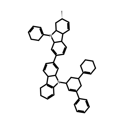 C[C@@H]1C=CC2C3C=CC(C4=CC5C(C=C4)C4=C(C=CCC4)N5C4C=C(c5ccccc5)CC(C5=CCCCC5)C4)=CC3N(C3=CC=CCC3)C2C1